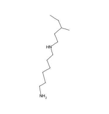 CCC(C)CCNCCCCCCN